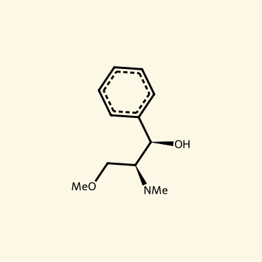 CN[C@@H](COC)[C@H](O)c1ccccc1